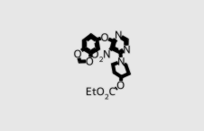 CCOC(=O)OC1CCN(c2ncnc(Oc3ccc4c(c3)OCO4)c2[N+](=O)[O-])CC1